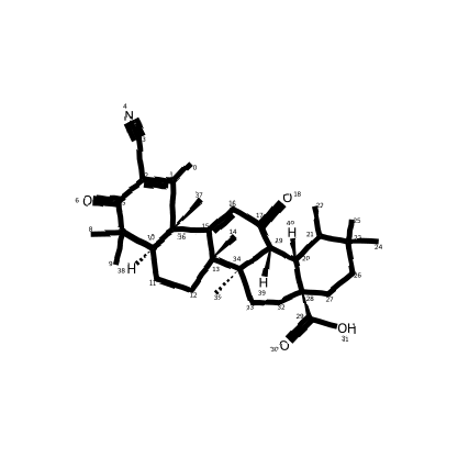 CC1=C(C#N)C(=O)C(C)(C)[C@@H]2CC[C@]3(C)C(=CC(=O)[C@@H]4[C@@H]5C(C)C(C)(C)CC[C@]5(C(=O)O)CC[C@]43C)[C@@]12C